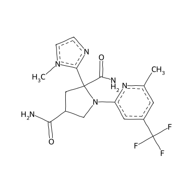 Cc1cc(C(F)(F)F)cc(N2CC(C(N)=O)CC2(C(N)=O)c2nccn2C)n1